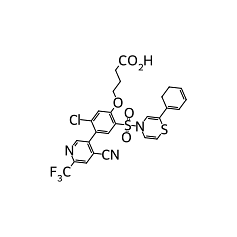 N#Cc1cc(C(F)(F)F)ncc1-c1cc(S(=O)(=O)N2C=CSC(C3=CC=CCC3)=C2)c(OCCCC(=O)O)cc1Cl